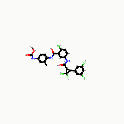 Cc1cc(NC(=O)OC(C)(C)C)ccc1NC(=O)c1cc(NC(=O)C2C(c3cc(Cl)cc(Cl)c3)C2(Cl)Cl)ccc1Cl